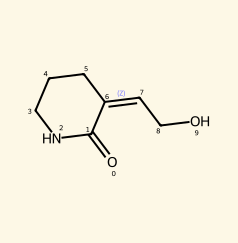 O=C1NCCC/C1=C/CO